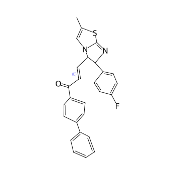 CC1=CN2C(=NC(c3ccc(F)cc3)C2/C=C/C(=O)c2ccc(-c3ccccc3)cc2)S1